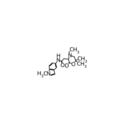 CCN1CC(C)(C)OC(=O)C1CC(=O)Nc1ccc2c(ccn2C)c1